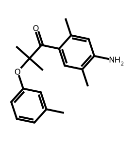 Cc1cccc(OC(C)(C)C(=O)c2cc(C)c(N)cc2C)c1